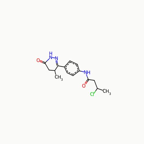 CC(Cl)CC(=O)Nc1ccc(C2=NNC(=O)CC2C)cc1